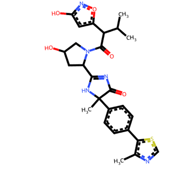 Cc1ncsc1-c1ccc(C2(C)NC(C3CC(O)CN3C(=O)C(c3cc(O)no3)C(C)C)=NC2=O)cc1